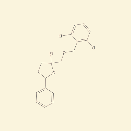 CCC1(COCc2c(Cl)cccc2Cl)CCC(c2ccccc2)O1